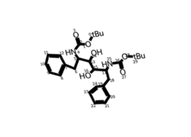 CC(C)(C)OC(=O)NC(Cc1ccccc1)C(O)C(O)C(Cc1ccccc1)NC(=O)OC(C)(C)C